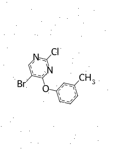 Cc1cccc(Oc2nc(Cl)ncc2Br)c1